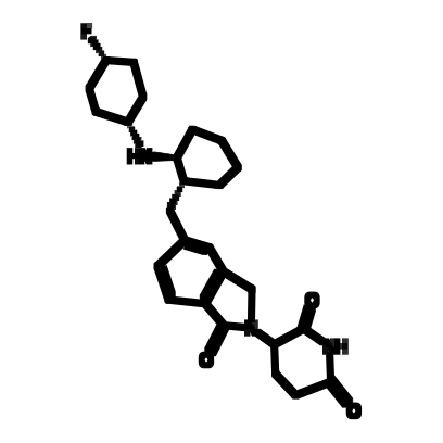 O=C1CCC(N2Cc3cc(C[C@H]4CCCC[C@@H]4N[C@H]4CC[C@@H](F)CC4)ccc3C2=O)C(=O)N1